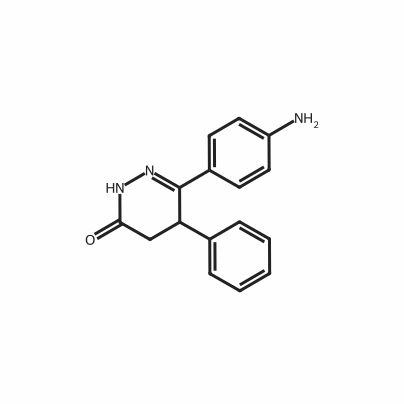 Nc1ccc(C2=NNC(=O)CC2c2ccccc2)cc1